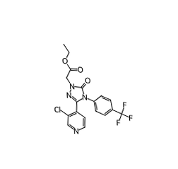 CCOC(=O)Cn1nc(-c2ccncc2Cl)n(-c2ccc(C(F)(F)F)cc2)c1=O